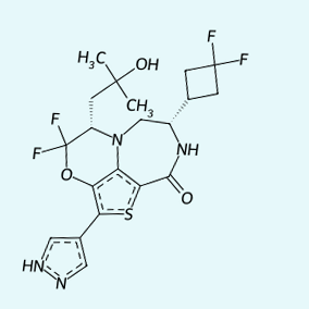 CC(C)(O)C[C@@H]1N2C[C@H](C3CC(F)(F)C3)NC(=O)c3sc(-c4cn[nH]c4)c(c32)OC1(F)F